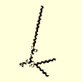 CCCCCCCCCCCCCCCCCCCCCCOC(=O)CCSCCC(NC(=O)C(CCCCCCCC)CCCCCCCCCC)C(=O)N(C)CCN(C)C